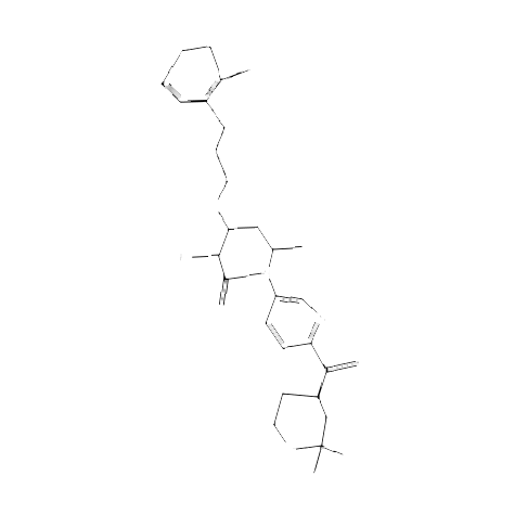 C=C1C(C(C)C)C(OCCCC2=C(Cl)CCC=C2)CC(C)N1c1ccc(C(=O)C2CCOC(C)(C)C2)nc1